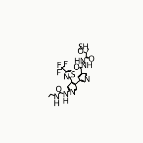 CCNC(=O)Nc1cc(-c2nc(C(F)(F)F)cs2)c(-c2cncc(C(=O)NNC(=O)[C@H](C)OS)c2)cn1